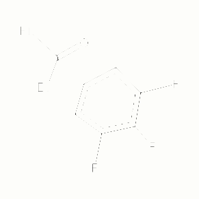 CCC(=O)CC.Fc1cccc(F)c1F